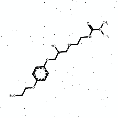 CC(C)COCCOc1ccc(OCC(O)CNCCNC(=O)N(C)C)cc1